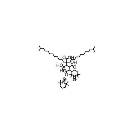 CC(C)CCCCCCCCCCC(CCCCCCCCCCC(C)C)(C(=O)O)C(C(=O)O)C(C(=O)O)C(C(=O)O)C1CCC(C)(C)N([O])C1(C)C.CC1(C)CCCC(C)(C)N1[O]